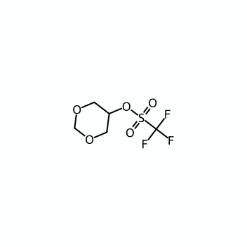 O=S(=O)(OC1COCOC1)C(F)(F)F